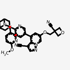 COc1ccc(CN2C3CC2CN(c2ccc(-c4cc(OCC5(C#N)COC5)cn5ncc(C#N)c45)cn2)C3)cn1